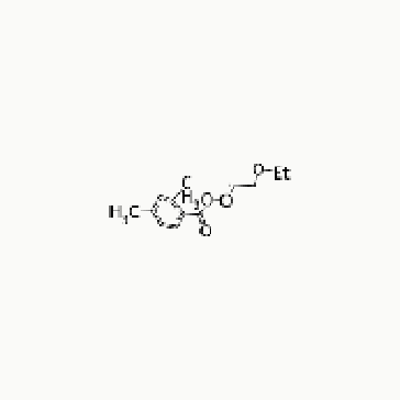 CCOC[CH]OOC(=O)c1ccc(C)cc1C